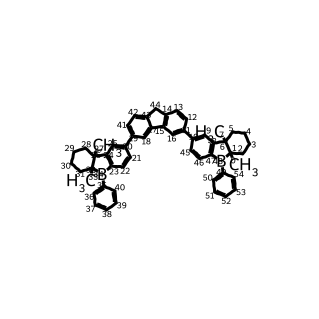 CC12CCCCC1(C)c1cc(-c3ccc4c(c3)-c3cc(-c5ccc6c(c5)C5(C)CCCCC5(C)B6c5ccccc5)ccc3C4)ccc1B2c1ccccc1